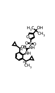 C[C@@H](c1cccc([C@H](C)C2CC2)c1NC(=O)NS(=O)(=O)c1cc(C(C)(C)O)co1)C1CC1